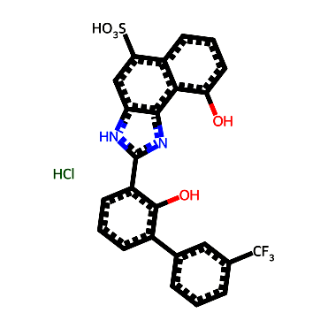 Cl.O=S(=O)(O)c1cc2[nH]c(-c3cccc(-c4cccc(C(F)(F)F)c4)c3O)nc2c2c(O)cccc12